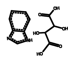 O=C(O)C(O)C(O)C(=O)O.c1ccc2[nH]cnc2c1